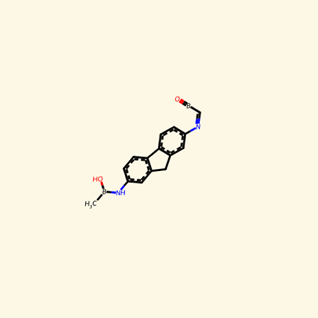 CB(O)Nc1ccc2c(c1)Cc1cc(/N=C\B=O)ccc1-2